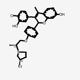 CC[C@@H]1CCN([C@@H](C)COc2ccc(C3Oc4cc(O)ccc4C(C)=C3c3ccc(Cl)c(O)c3)cc2)C1